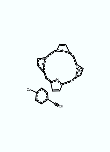 C#Cc1cc[c]([Co])cc1.C1=Cc2cc3ccc(cc4nc(cc5ccc(cc1n2)[nH]5)C=C4)[nH]3